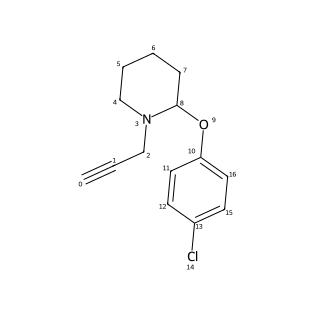 C#CCN1CCCCC1Oc1ccc(Cl)cc1